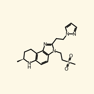 C[C@H]1CCc2c(ccc3c2nc(CCn2cccn2)n3CCS(C)(=O)=O)N1